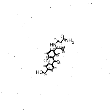 C[C@H](CC(N)=O)NC(c1ccc(Cl)c(C(=O)c2ccc(CO)cc2)c1F)C1CC1